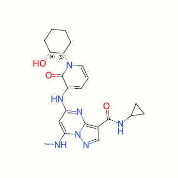 CNc1cc(Nc2cccn([C@H]3CCCC[C@H]3O)c2=O)nc2c(C(=O)NC3CC3)cnn12